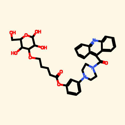 O=C(CCCCOC1C(O)C(O)OC(CO)C1O)Oc1cccc(N2CCN(C(=O)c3c4ccccc4nc4ccccc34)CC2)c1